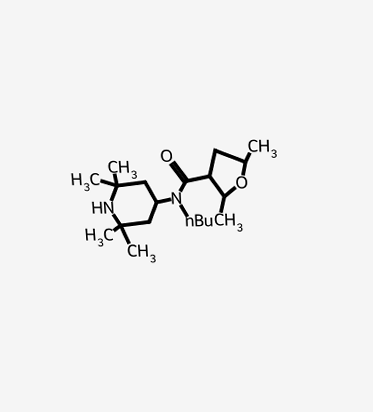 CCCCN(C(=O)C1CC(C)OC1C)C1CC(C)(C)NC(C)(C)C1